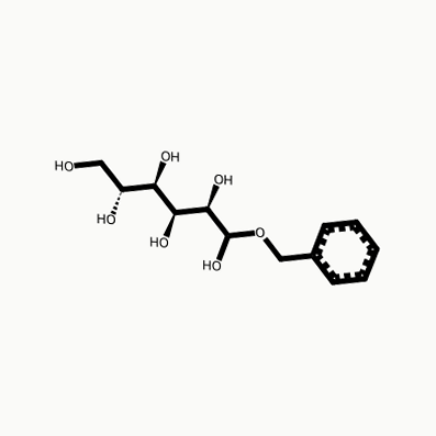 OC[C@@H](O)[C@@H](O)[C@H](O)[C@@H](O)C(O)OCc1ccccc1